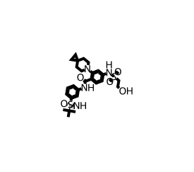 CC(C)(C)[S@@](=N)(=O)c1cccc(NC(=O)c2ccc(NS(=O)(=O)CCO)cc2N2CCC3(CC2)CC3)c1